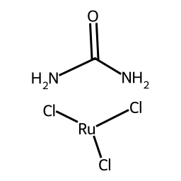 NC(N)=O.[Cl][Ru]([Cl])[Cl]